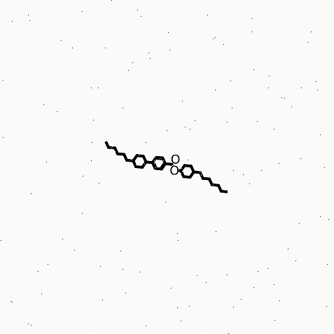 CCCCCCCC1CCC(OC(=O)c2ccc(C3CCC(CCCCCC)CC3)cc2)CC1